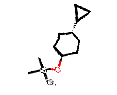 CC(C)(C)[Si](C)(C)O[C@H]1CC[C@H](C2CC2)CC1